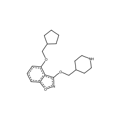 c1cc(OCC2CCCC2)c2c(OCC3CCNCC3)noc2c1